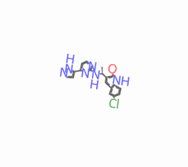 C[C@H](Nc1nccc(-c2ccn[nH]2)n1)c1cc2cc(Cl)ccc2[nH]c1=O